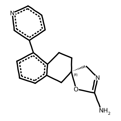 NC1=NC[C@]2(CCc3c(cccc3-c3cccnc3)C2)O1